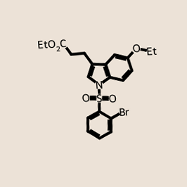 CCOC(=O)CCc1cn(S(=O)(=O)c2ccccc2Br)c2ccc(OCC)cc12